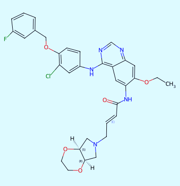 CCOc1cc2ncnc(Nc3ccc(OCc4cccc(F)c4)c(Cl)c3)c2cc1NC(=O)/C=C/CN1C[C@@H]2OCCO[C@@H]2C1